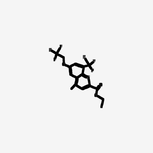 CCOC(=O)c1cc(C)c2cc(OCC(F)(F)F)cc(C(F)(F)F)c2n1